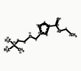 CCOC(=O)c1cnn(COCC[Si](C)(C)C)c1